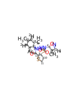 [2H]c1noc(NS(=O)(=O)c2ccsc2C(=O)Nc2c(C)c([2H])c(C)c([2H])c2C(C)=O)c1C